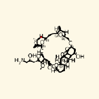 C=C1C[C@@H]2CC[C@]34C[C@@H](O)C5C(O3)[C@H]3[C@@H](O4)[C@H]4O[C@H](CC[C@@H]4O[C@@H]53)CC(=O)C[C@@H]3[C@@H](OC)[C@@H](C[C@H](O)CN)O[C@H]3C[C@H]3O[C@@H](CC[C@@H]1O2)C[C@@H](C)C3=C